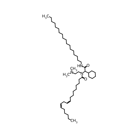 CCCCC/C=C\C/C=C\CCCCCCCC(=O)N(CCN(C)C)C(C(=O)NCCCCCCCCCCCCCCCCCC)C1CCCCC1